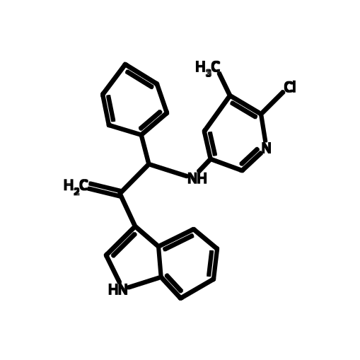 C=C(c1c[nH]c2ccccc12)C(Nc1cnc(Cl)c(C)c1)c1ccccc1